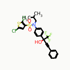 CC(C)CN(c1ccc(C(O)(C#Cc2ccccc2)C(F)(F)F)cc1)S(=O)(=O)c1cc(Cl)sc1Cl